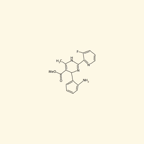 COC(=O)C1=C(C)NC(c2ncccc2F)=NC1c1ccccc1N